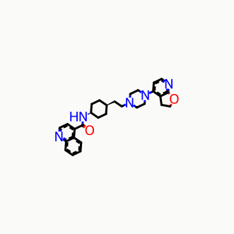 O=C(N[C@H]1CC[C@H](CCN2CCN(c3ccnc4c3CCO4)CC2)CC1)c1ccnc2ccccc12